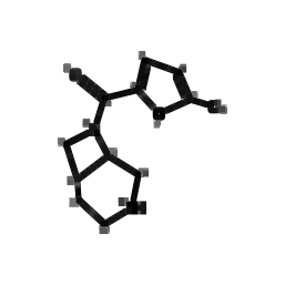 O=C(c1ccc(Cl)o1)N1CC2CCNCC21